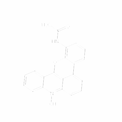 CC(=O)Nc1cccc2c1Oc1c3ccccc3[n+](C)c3cccc-2c13